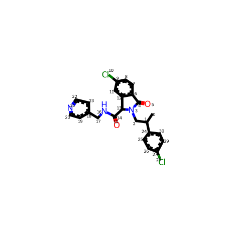 CC(CN1C(=O)c2ccc(Cl)cc2C1C(=O)NCc1ccncc1)c1ccc(Cl)cc1